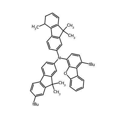 CC1CC=CC2=C1c1ccc(N(c3ccc4c(c3)C(C)(C)c3cc(C(C)(C)C)ccc3-4)c3ccc(C(C)(C)C)c4c3oc3ccccc34)cc1C2(C)C